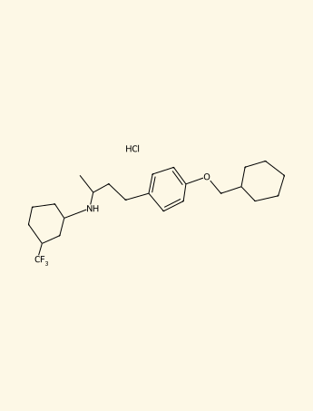 CC(CCc1ccc(OCC2CCCCC2)cc1)NC1CCCC(C(F)(F)F)C1.Cl